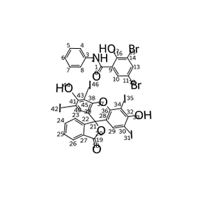 O=C(Nc1ccccc1)c1cc(Br)cc(Br)c1O.O=C1OC2(c3ccccc31)c1cc(I)c(O)c(I)c1Oc1c2cc(I)c(O)c1I